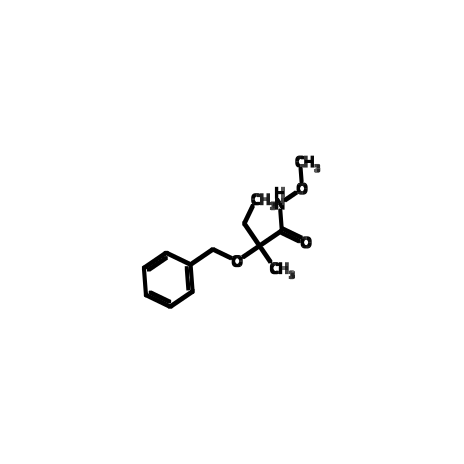 CCC(C)(OCc1ccccc1)C(=O)NOC